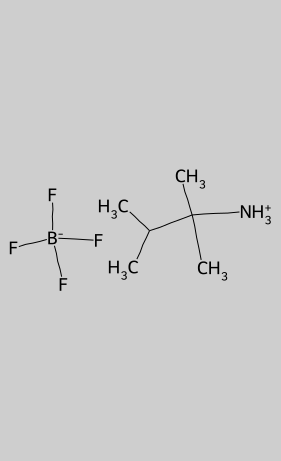 CC(C)C(C)(C)[NH3+].F[B-](F)(F)F